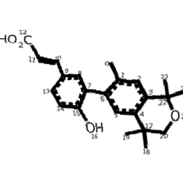 Cc1cc2c(cc1-c1cc(/C=C/C(=O)O)ccc1O)C(C)(C)COC2(C)C